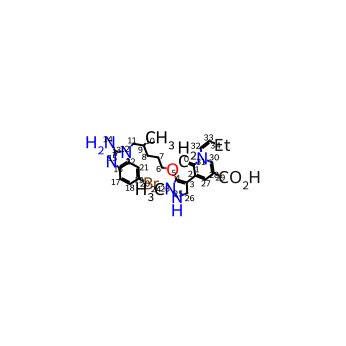 C=C1C(C2=C(OCCCC(C)Cn3c(N)nc4ccc(Br)cc43)N(C)NC2)=CC(C(=O)O)=CN1/C=C\CC